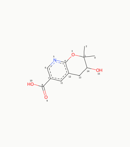 CC1(C)Oc2ncc(C(=O)O)cc2CC1O